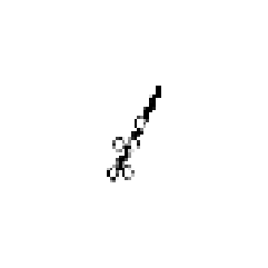 CCCCCCOCCOC(=O)CCC(=O)OC